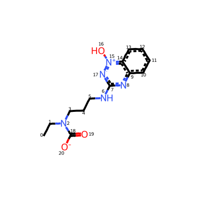 CCN(CCCNc1nc2ccccc2[n+](O)n1)C(=O)[O-]